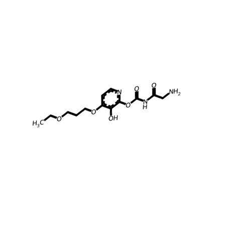 CCOCCCOc1ccnc(OC(=O)NC(=O)CN)c1O